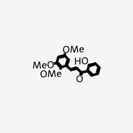 COc1cc(/C=C/C(=O)c2ccccc2O)c(OC)c(OC)c1